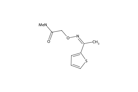 CNC(=O)CO/N=C(/C)c1cccs1